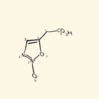 O=C(O)Cc1cn[n+]([O-])o1